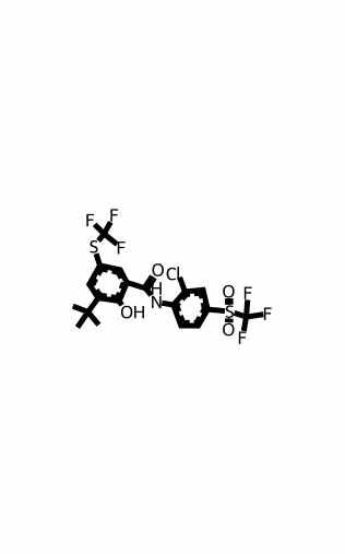 CC(C)(C)c1cc(SC(F)(F)F)cc(C(=O)Nc2ccc(S(=O)(=O)C(F)(F)F)cc2Cl)c1O